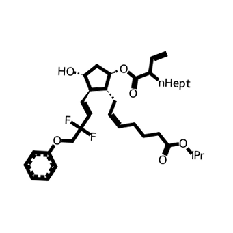 C=CC(CCCCCCC)C(=O)O[C@H]1C[C@@H](O)[C@H](/C=C/C(F)(F)COc2ccccc2)[C@H]1C/C=C\CCCC(=O)OC(C)C